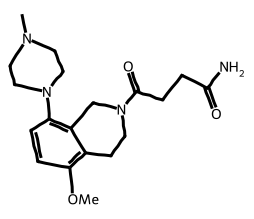 COc1ccc(N2CCN(C)CC2)c2c1CCN(C(=O)CCC(N)=O)C2